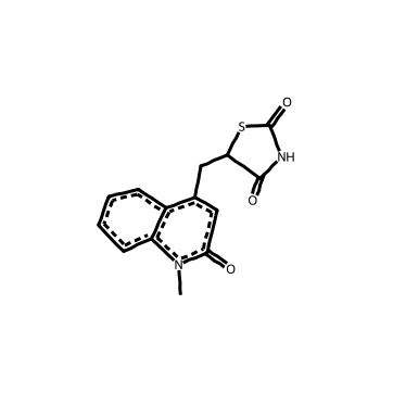 Cn1c(=O)cc(CC2SC(=O)NC2=O)c2ccccc21